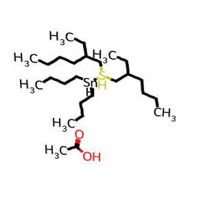 CC(=O)O.CCCCC(CC)C[SH](CC(CC)CCCC)[SnH]([CH2]CCC)[CH2]CCC